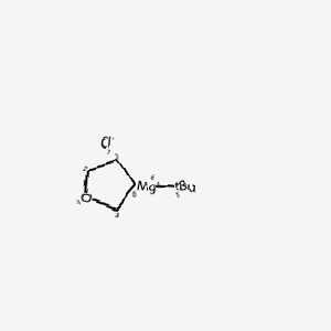 C1CCOC1.C[C](C)(C)[Mg+].[Cl-]